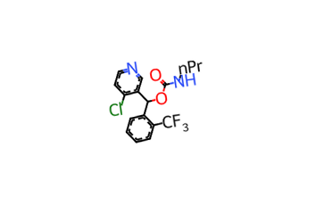 CCCNC(=O)OC(c1cnccc1Cl)c1ccccc1C(F)(F)F